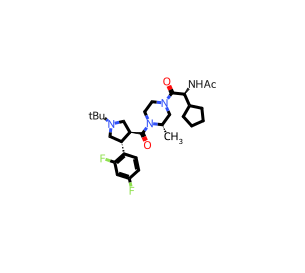 CC(=O)N[C@H](C(=O)N1CCN(C(=O)[C@@H]2CN(C(C)(C)C)C[C@H]2c2ccc(F)cc2F)[C@@H](C)C1)C1CCCC1